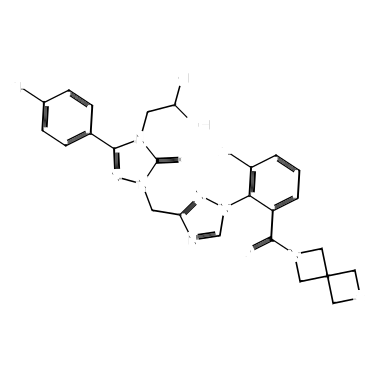 O=C(c1cccc(Cl)c1-n1cnc(Cn2nc(-c3ccc(Cl)cc3)n(CC(O)C(F)(F)F)c2=O)n1)N1CC2(COC2)C1